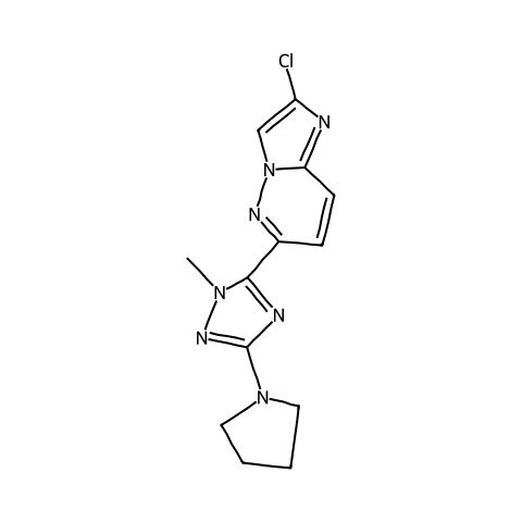 Cn1nc(N2CCCC2)nc1-c1ccc2nc(Cl)cn2n1